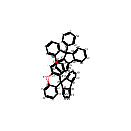 c1ccc(C2(c3ccccc3-c3ccc4c(c3)Oc3ccccc3C43c4ccccc4-c4ccccc43)c3ccccc3-c3ccccc32)cc1